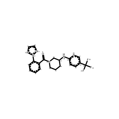 O=C(c1ccccc1-n1nccn1)N1CCCC(Nc2ccc(C(F)(F)F)cn2)C1